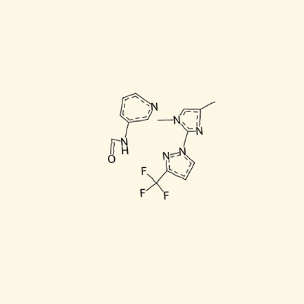 Cc1cn(C)c(-n2ccc(C(F)(F)F)n2)n1.O=CNc1cccnc1